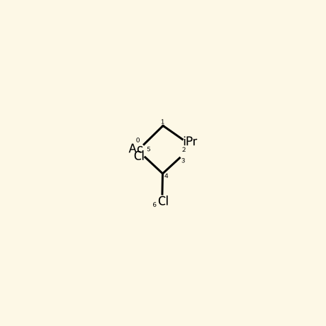 CC(=O)CC(C)C.CC(Cl)Cl